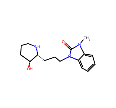 Cn1c(=O)n(CCC[C@H]2NCCC[C@@H]2O)c2ccccc21